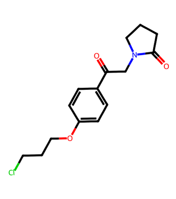 O=C(CN1CCCC1=O)c1ccc(OCCCCl)cc1